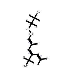 C\C(F)=C/C(=C\C(F)=C\BOC(C)(C)C(C)(C)O)C(C)(C)O